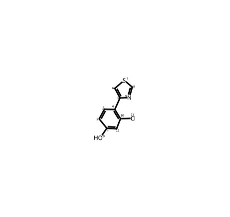 Oc1c[c]c(-c2cscn2)c(Cl)c1